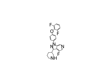 Fc1cccc(F)c1Oc1ccc(-n2nc(C3CCCNC3)c3c(F)cncc32)cc1